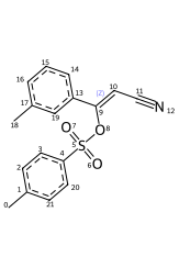 Cc1ccc(S(=O)(=O)O/C(=C\C#N)c2cccc(C)c2)cc1